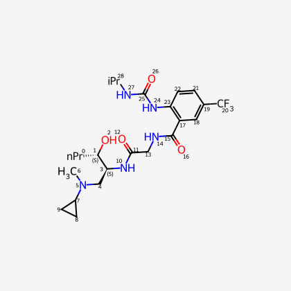 CCC[C@H](O)[C@H](CN(C)C1CC1)NC(=O)CNC(=O)c1cc(C(F)(F)F)ccc1NC(=O)NC(C)C